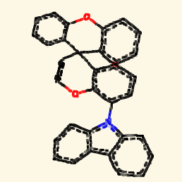 c1ccc2c(c1)Oc1ccccc1C21c2ccccc2Oc2c(-n3c4ccccc4c4ccccc43)cccc21